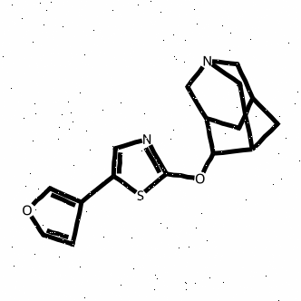 c1cc(-c2cnc(OC3C4CC5CC3CN(C5)C4)s2)co1